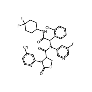 N#Cc1ccnc(N2C(=O)OCC2C(=O)N(c2cncc(F)c2)C(C(=O)NC2CCC(F)(F)CC2)c2ccccc2Cl)c1